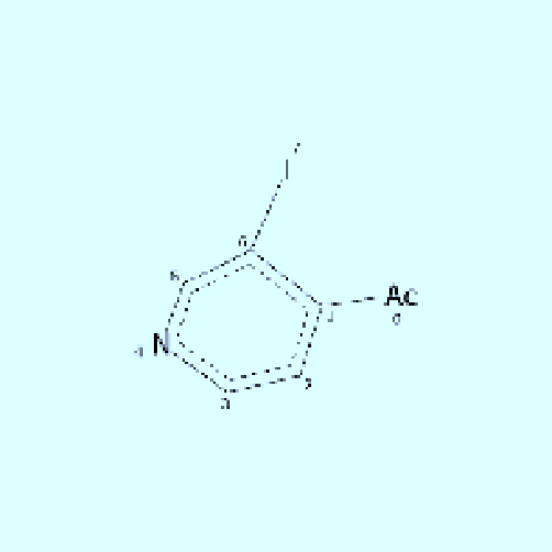 CC(=O)c1ccncc1I